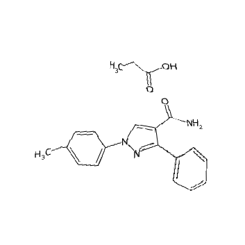 CCC(=O)O.Cc1ccc(-n2cc(C(N)=O)c(-c3ccccc3)n2)cc1